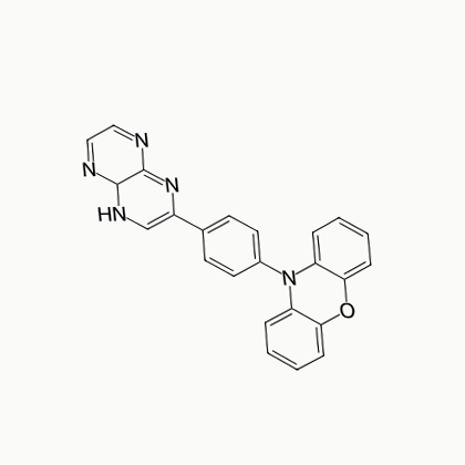 C1=NC2=NC(c3ccc(N4c5ccccc5Oc5ccccc54)cc3)=CNC2N=C1